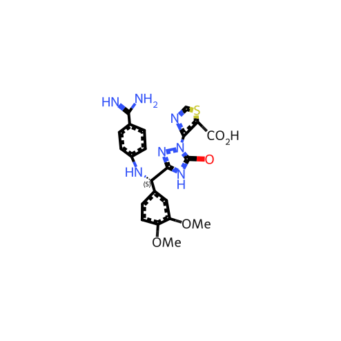 COc1ccc([C@H](Nc2ccc(C(=N)N)cc2)c2nn(-c3ncsc3C(=O)O)c(=O)[nH]2)cc1OC